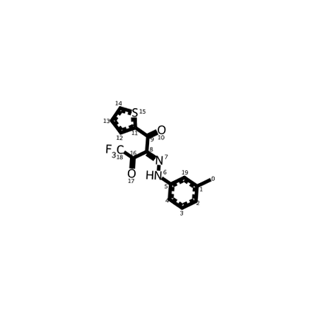 Cc1cccc(NN=C(C(=O)c2cccs2)C(=O)C(F)(F)F)c1